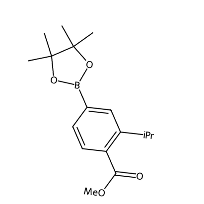 COC(=O)c1ccc(B2OC(C)(C)C(C)(C)O2)cc1C(C)C